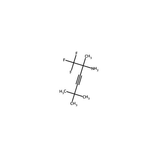 CC(C)(C)C#CC(C)(N)C(F)(F)F